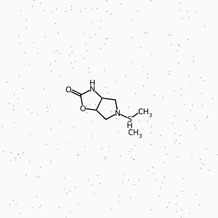 C[SH](C)N1CC2NC(=O)OC2C1